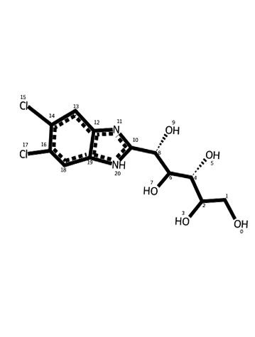 OCC(O)[C@@H](O)C(O)[C@@H](O)c1nc2cc(Cl)c(Cl)cc2[nH]1